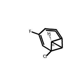 FC1=CC2(Cl)C3C(=C=C1)[C@@H]32